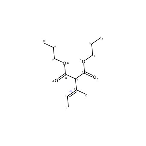 C/C=C(\C)C(C(=O)OCCC)C(=O)OCCC